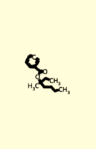 CCCCC(C)(CC)OC(=O)c1ccccc1